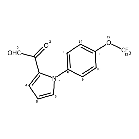 O=CC(=O)c1cccn1-c1ccc(OC(F)(F)F)cc1